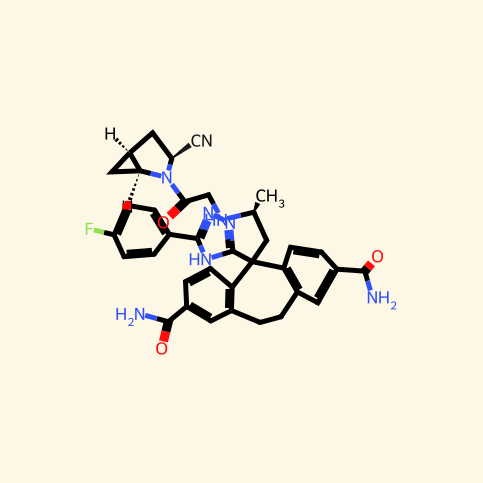 C[C@@H](CC1(c2nnc(-c3ccc(F)cc3)[nH]2)c2ccc(C(N)=O)cc2CCc2cc(C(N)=O)ccc21)NCC(=O)N1[C@H](C#N)C[C@@H]2C[C@@H]21